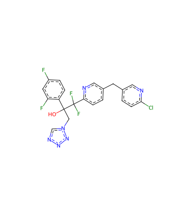 OC(Cn1cnnn1)(c1ccc(F)cc1F)C(F)(F)c1ccc(Cc2ccc(Cl)nc2)cn1